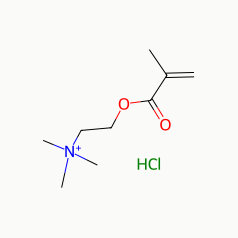 C=C(C)C(=O)OCC[N+](C)(C)C.Cl